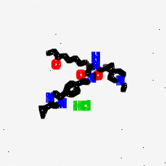 CCC(=O)CCCCC[C@H](NC(=O)[C@H]1CC12CCN(CC)CC2)c1ncc(-c2ccc(-c3cnc(C4CC4)cn3)cc2)o1.Cl